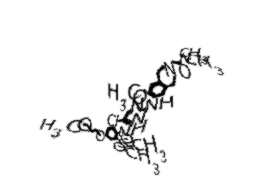 COCCOc1ccc(Nc2nc(Nc3cc4c(cc3OC)CCN(CC(=O)N(C)C)CC4)ncc2Cl)c(S(=O)(=O)C(C)C)c1